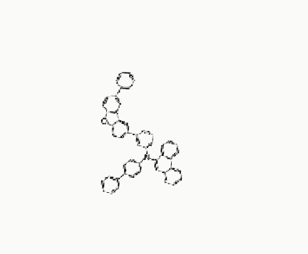 c1ccc(-c2ccc(N(c3cccc(-c4ccc5oc6ccc(-c7ccccc7)cc6c5c4)c3)c3cc4ccccc4c4ccccc34)cc2)cc1